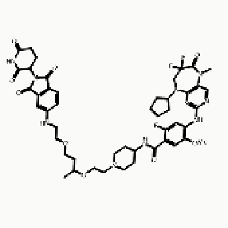 COc1cc(C(=O)NC2CCN(CCOC(C)CCOCCNc3ccc4c(c3)C(=O)N(C3CCC(=O)NC3=O)C4=O)CC2)c(F)cc1Nc1ncc2c(n1)N(C1CCCC1)CC(F)(F)C(=O)N2C